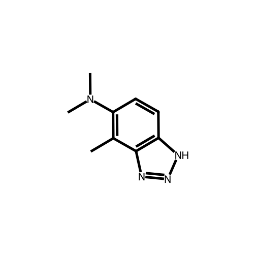 Cc1c(N(C)C)ccc2[nH]nnc12